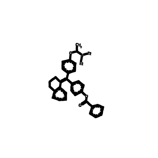 CCN(CC)C(C)Oc1ccc(C(=C2CCCc3ccccc32)c2ccc(OC(=O)c3ccccc3)cc2)cc1